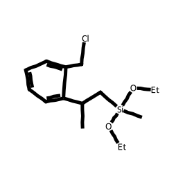 CCO[Si](C)(CC(C)c1ccccc1CCl)OCC